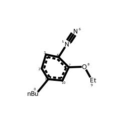 CCCCc1ccc([N+]#N)c(OCC)c1